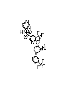 CN(C)[C@H]1C[C@@H](c2cccc(C(F)(F)F)c2)CC[C@@H]1Oc1ncc(S(=O)(=O)Nc2ccncn2)cc1C(F)(F)F